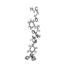 C=CCOc1ccccc1/C=C\C(=O)Nc1nc(-c2ccc([N+](=O)[O-])cc2)cs1